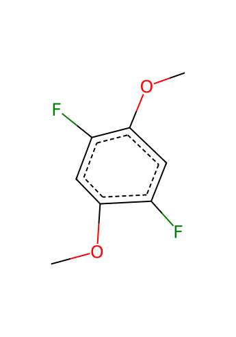 COc1cc(F)c(OC)cc1F